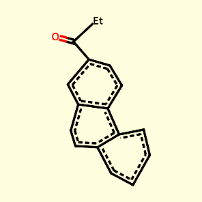 CCC(=O)c1ccc2c(ccc3ccccc32)c1